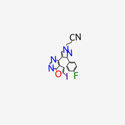 N#CCCn1cc(-c2ncnc3oc(I)cc23)c(-c2ccc(F)cc2)n1